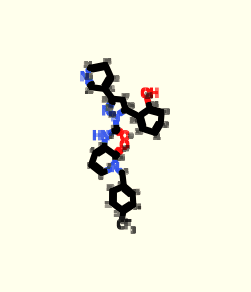 O=C(Nc1cccn(Cc2ccc(C(F)(F)F)cc2)c1=O)N1N=C(c2cccnc2)CC1c1ccccc1O